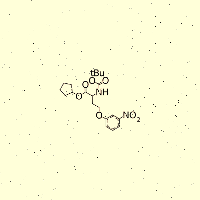 CC(C)(C)OC(=O)NC(CCOc1cccc([N+](=O)[O-])c1)C(=O)OC1CCCC1